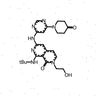 CC(C)(C)Nc1nc(Nc2cc(N3CCC(=O)CC3)ncn2)cc2ccn(CCO)c(=O)c12